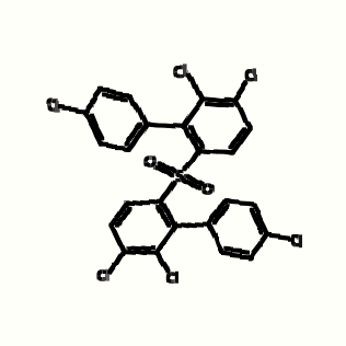 O=S(=O)(c1ccc(Cl)c(Cl)c1-c1ccc(Cl)cc1)c1ccc(Cl)c(Cl)c1-c1ccc(Cl)cc1